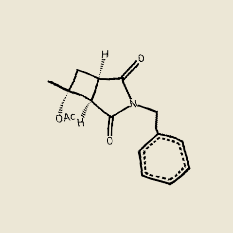 CC(=O)O[C@]1(C)C[C@H]2C(=O)N(Cc3ccccc3)C(=O)[C@H]21